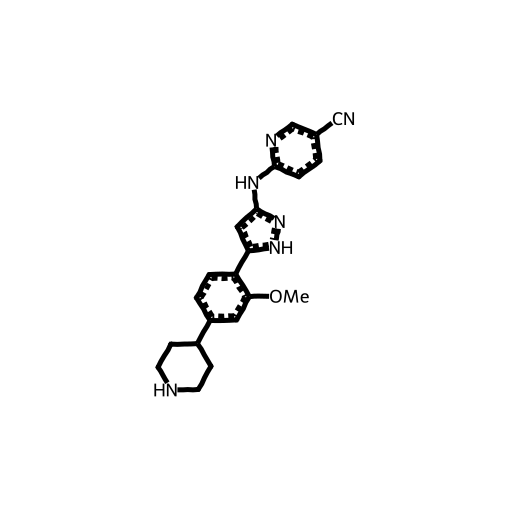 COc1cc(C2CCNCC2)ccc1-c1cc(Nc2ccc(C#N)cn2)n[nH]1